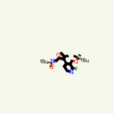 Cc1coc(/C=N/[S@@+]([O-])C(C)(C)C)c1-c1ccnc(F)c1CO[Si](C)(C)C(C)(C)C